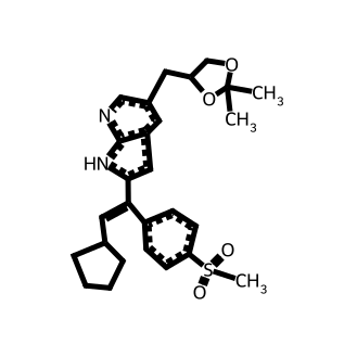 CC1(C)OCC(Cc2cnc3[nH]c(C(=CC4CCCC4)c4ccc(S(C)(=O)=O)cc4)cc3c2)O1